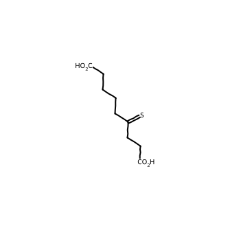 O=C(O)CCCCC(=S)CCC(=O)O